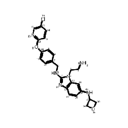 NCCn1c(NCc2ccc(Oc3ccc(Cl)cn3)cc2)nc2ccc(NC3COC3)cc21